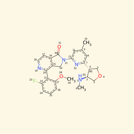 CN[C@@H]1COC[C@H]1c1cc(C)cc(N2Cc3c(ccnc3-c3c(F)cccc3OC)C2=O)n1